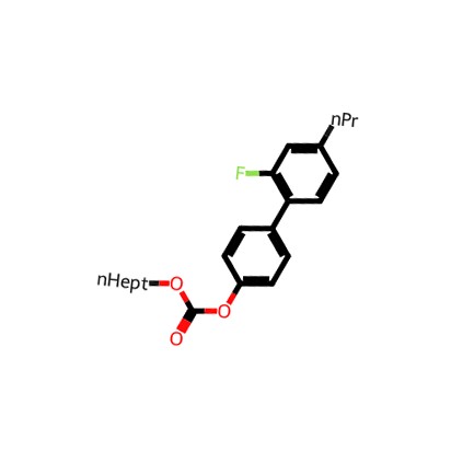 CCCCCCCOC(=O)Oc1ccc(-c2ccc(CCC)cc2F)cc1